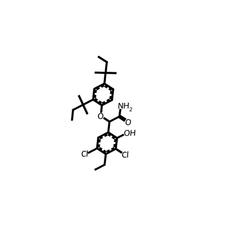 CCc1c(Cl)cc(C(Oc2ccc(C(C)(C)CC)cc2C(C)(C)CC)C(N)=O)c(O)c1Cl